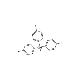 Cc1cc[c]([Ge]([I])([c]2ccc(C)cc2)[c]2ccc(C)cc2)cc1